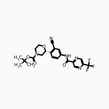 CC(C)(C)OC(=O)N1CCO[C@H](c2ccc(NC(=O)c3cnc(C(F)(F)F)cn3)cc2C#N)C1